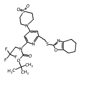 CC(C)(C)OC(=O)N(CC(F)(F)F)c1cc(N2CCS(=O)(=O)CC2)cc(CSc2nc3c(o2)CCCC3)n1